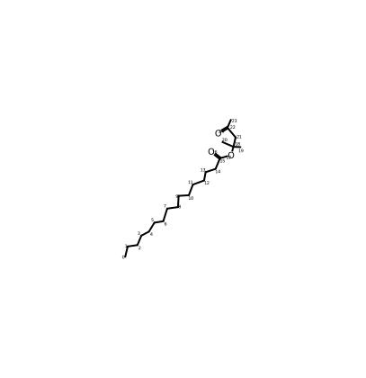 CCCCCCCCCCCCCCCC(=O)OC(C)(C)CC(C)=O